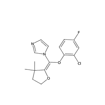 CC1(C)CCOC1=C(Oc1ccc(F)cc1Cl)n1ccnc1